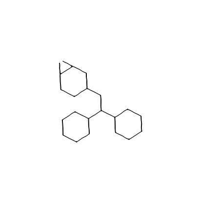 C1CCC(C(CC2CCC3OC3C2)C2CCCCC2)CC1